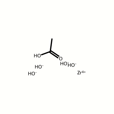 CC(=O)O.[OH-].[OH-].[OH-].[OH-].[Zr+4]